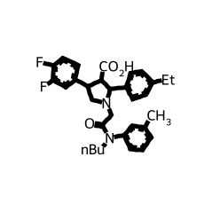 CCCCN(C(=O)CN1CC(c2ccc(F)c(F)c2)C(C(=O)O)C1c1ccc(CC)cc1)c1cccc(C)c1